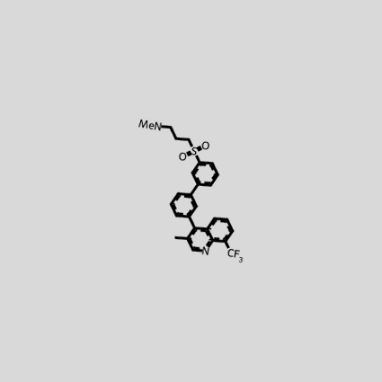 CNCCCS(=O)(=O)c1cccc(-c2cccc(-c3c(C)cnc4c(C(F)(F)F)cccc34)c2)c1